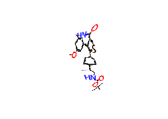 COc1cc(C)c2[nH]c(=O)c3csc(-c4ccc([C@@H](C)CNC(=O)OC(C)(C)C)cc4)c3c2c1